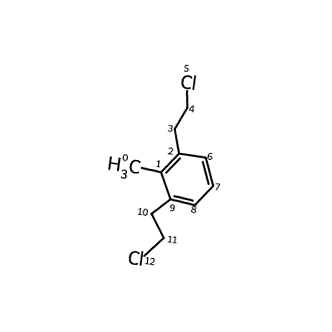 Cc1c(CCCl)cccc1CCCl